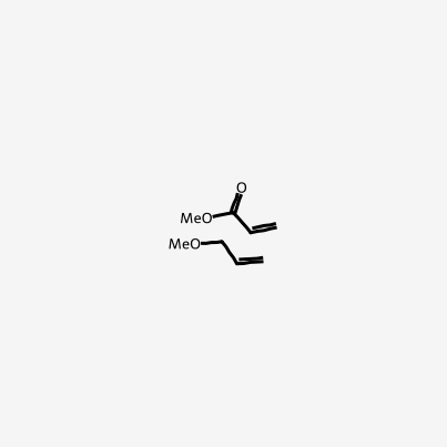 C=CC(=O)OC.C=CCOC